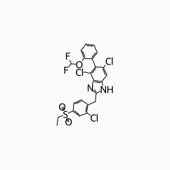 CCS(=O)(=O)c1ccc(Cc2nc3c(Cl)c(-c4ccccc4OC(F)F)c(Cl)cc3[nH]2)c(Cl)c1